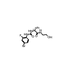 CCC[C@H](NC(=O)Nc1ccc(Br)cc1F)C(=O)NCCO